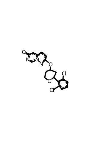 O=c1cc2ccc(OC3CCOC(c4c(Cl)cccc4Cl)C3)nn2cn1